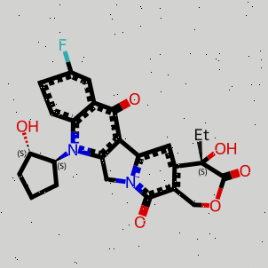 CC[C@@]1(O)C(=O)OCc2c1cc1n(c2=O)Cc2c-1c(=O)c1cc(F)ccc1n2[C@H]1CCC[C@@H]1O